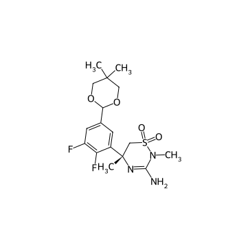 CN1C(N)=N[C@](C)(c2cc(C3OCC(C)(C)CO3)cc(F)c2F)CS1(=O)=O